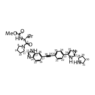 COC(=O)N[C@H](C(=O)N1CCC[C@H]1c1nc2ccc(C#Cc3ccc(-c4cnc([C@@H]5CCCN5)[nH]4)cc3)cc2[nH]1)C(C)C